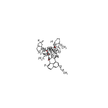 COCOc1cc(-c2nc3c4c(nc(OCC56CCCN5CC(F)(F)C6)nc4c2F)N2C[C@H]4CC[C@@H]([C@H]2[C@H](C)O3)N4C(=O)OC(C)(C)C)c2c(C#C[Si](C(C)C)(C(C)C)C(C)C)c(F)ccc2c1